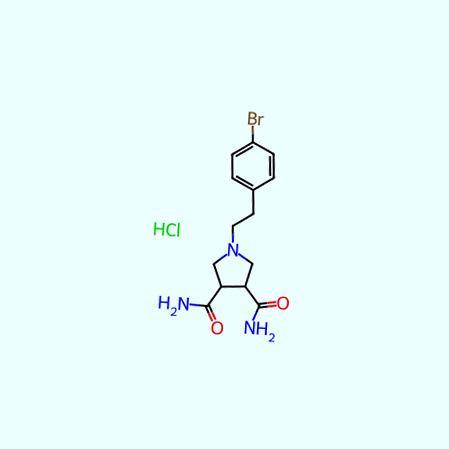 Cl.NC(=O)C1CN(CCc2ccc(Br)cc2)CC1C(N)=O